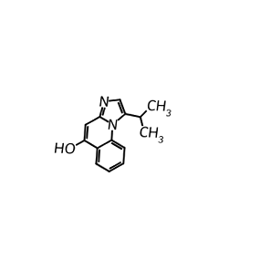 CC(C)c1cnc2cc(O)c3ccccc3n12